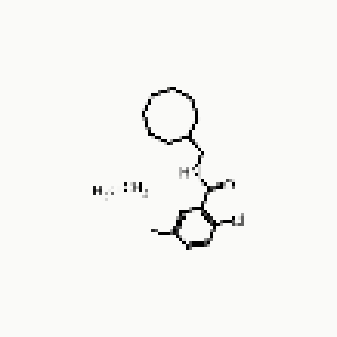 O=C(NC[C]1CCCCCCC1)c1cc(F)ccc1Cl.[CH2].[CH2]